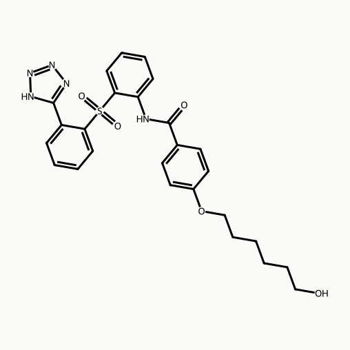 O=C(Nc1ccccc1S(=O)(=O)c1ccccc1-c1nnn[nH]1)c1ccc(OCCCCCCO)cc1